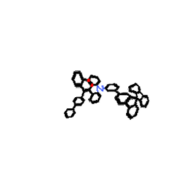 C1=CC2c3ccc(-c4cccc(N(c5ccccc5)c5ccccc5-c5ccc6ccccc6c5-c5ccc(-c6ccccc6)cc5)c4)cc3C3(c4ccccc4-c4ccccc43)C2C=C1